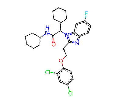 O=C(NC1CCCCC1)C(C1CCCCC1)n1c(CCOc2ccc(Cl)cc2Cl)nc2ccc(F)cc21